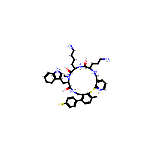 Cc1ccc(-c2ccc(S)cc2)c2c1Sc1ncccc1CNC(CCCN)C(=O)NC(CCCCN)C(=O)N(C)C(Cc1c[nH]c3c1CCC=C3)C(=O)NC2